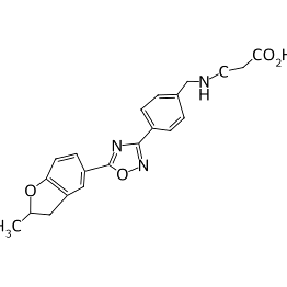 CC1Cc2cc(-c3nc(-c4ccc(CNCCC(=O)O)cc4)no3)ccc2O1